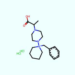 CC(C(=O)O)N1CCN([N+]2(Cc3ccccc3)CCCCC2)CC1.Cl.Cl